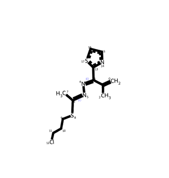 C=C(C)/C(=N\N=C(/C)SCCCCl)c1nccs1